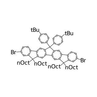 CCCCCCCCC1(CCCCCCCC)c2cc(Br)ccc2-c2cc3c(cc21)-c1cc2c(cc1C3(c1ccc(C(C)(C)C)cc1)c1ccc(C(C)(C)C)cc1)-c1ccc(Br)cc1C2(CCCCCCCC)CCCCCCCC